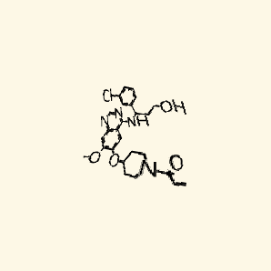 C=CC(=O)N1CCC(Oc2cc3c(NC(CCO)c4cccc(Cl)c4)ncnc3cc2OC)CC1